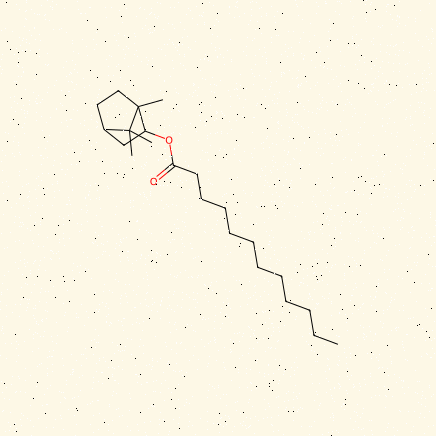 CCCCCCCCCCCC(=O)OC1CC2CCC1(C)C2(C)C